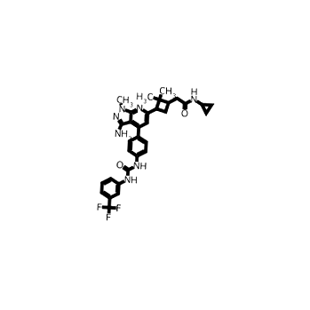 Cn1nc(N)c2c(-c3ccc(NC(=O)Nc4cccc(C(F)(F)F)c4)cc3)cc(C3CC(CC(=O)NC4CC4)C3(C)C)nc21